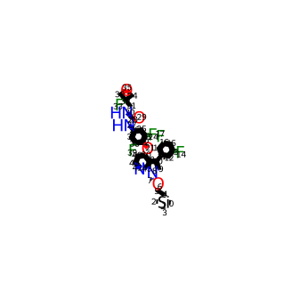 C[Si](C)(C)CCOCn1cc(-c2cc(F)cc(F)c2)c2c(Oc3c(F)cc(NC(=O)NCC4(F)COC4)cc3F)ccnc21